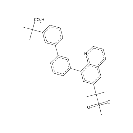 CC(C)(C(=O)O)c1cccc(-c2cccc(-c3cc(C(C)(C)S(C)(=O)=O)cc4cccnc34)c2)c1